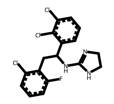 Fc1cccc(Cl)c1CC(NC1=NCCN1)c1cccc(Cl)c1Cl